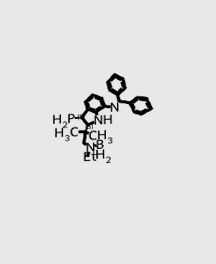 BN(CC)CC(C)(C)[C@@H]1Nc2c(N=C(c3ccccc3)c3ccccc3)cccc2[C@@H]1P